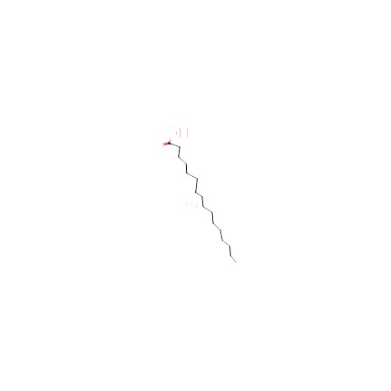 CCCCCCCCCCCCCCCC(=O)O.[Rb]